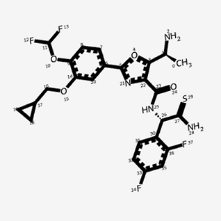 C[C@H](N)c1oc(-c2ccc(OC(F)F)c(OCC3CC3)c2)nc1C(=O)N[C@H](C(N)=S)c1ccc(F)cc1F